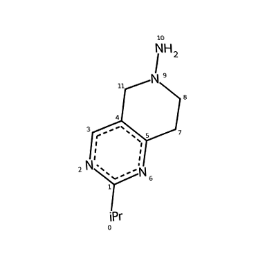 CC(C)c1ncc2c(n1)CCN(N)C2